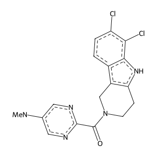 CNc1cnc(C(=O)N2CCc3[nH]c4c(Cl)c(Cl)ccc4c3C2)nc1